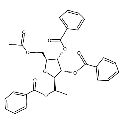 CC(=O)OC[C@@H]1O[C@H](C(C)OC(=O)c2ccccc2)[C@@H](OC(=O)c2ccccc2)[C@H]1OC(=O)c1ccccc1